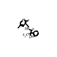 Cc1cnc(F)c(CNC(=O)[C@@](O)(c2ccccc2)C(F)(F)F)c1